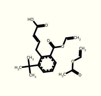 C=COC(=O)c1cccc(C(C)(C)C)c1C/C=C/C(=O)O.C=COC(C)=O